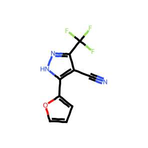 N#Cc1c(C(F)(F)F)n[nH]c1-c1ccco1